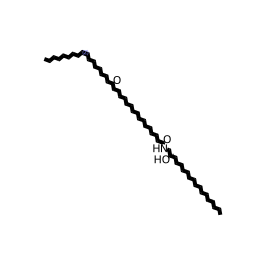 CCCCCCCC/C=C\CCCCCCCC(=O)CCCCCCCCCCCCCCCC(=O)NC[C@@H](O)CCCCCCCCCCCCCCCC